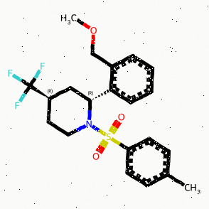 COCc1ccccc1[C@H]1C[C@H](C(F)(F)F)CCN1S(=O)(=O)c1ccc(C)cc1